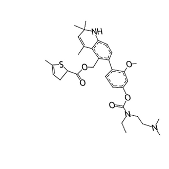 CCN(CCN(C)C)C(=O)Oc1ccc(-c2ccc3c(c2COC(=O)C2CC=C(C)S2)C(C)=CC(C)(C)N3)c(OC)c1